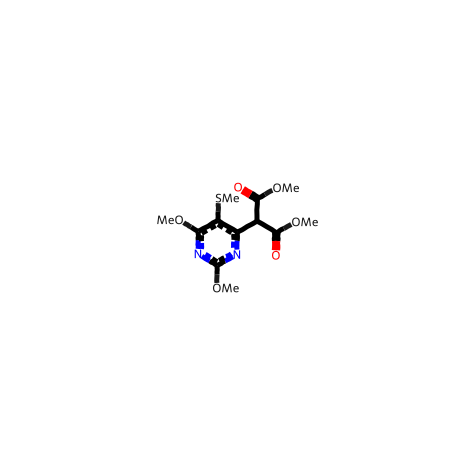 COC(=O)C(C(=O)OC)c1nc(OC)nc(OC)c1SC